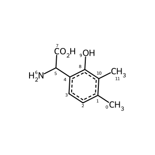 Cc1ccc(C(N)C(=O)O)c(O)c1C